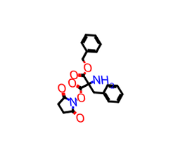 NC(Cc1ccccc1)(C(=O)OCc1ccccc1)C(=O)ON1C(=O)CCC1=O